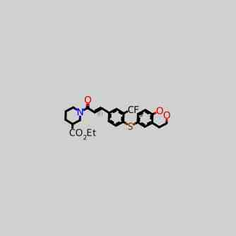 CCOC(=O)C1CCCN(C(=O)/C=C/c2ccc(Sc3ccc4c(c3)CCOO4)c(C(F)(F)F)c2)C1